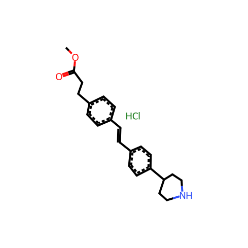 COC(=O)CCc1ccc(C=Cc2ccc(C3CCNCC3)cc2)cc1.Cl